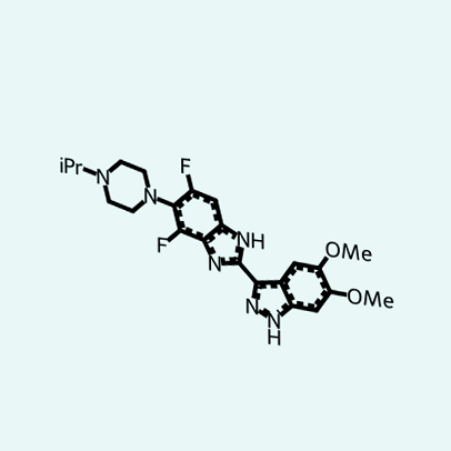 COc1cc2[nH]nc(-c3nc4c(F)c(N5CCN(C(C)C)CC5)c(F)cc4[nH]3)c2cc1OC